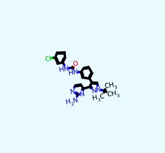 CC(C)(C)n1cc(-c2cccc(NC(=O)Nc3cccc(Cl)c3)c2)c(-c2ccnc(N)n2)n1